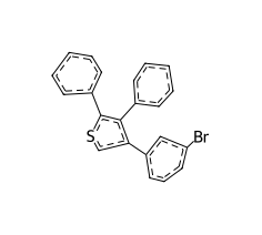 Brc1cccc(-c2csc(-c3ccccc3)c2-c2ccccc2)c1